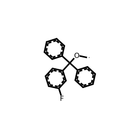 [CH2]OC(c1ccccc1)(c1ccccc1)c1cccc(F)c1